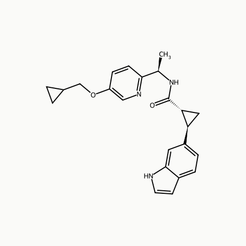 C[C@@H](NC(=O)[C@@H]1C[C@H]1c1ccc2cc[nH]c2c1)c1ccc(OCC2CC2)cn1